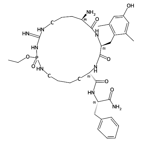 CCOP1(=O)NCCCC[C@@H](C(=O)N[C@@H](Cc2ccccc2)C(N)=O)NC(=O)[C@H](Cc2c(C)cc(O)cc2C)NC(=O)[C@H](N)CCCNC(=N)N1